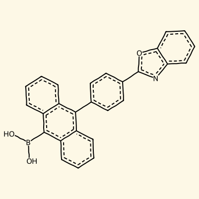 OB(O)c1c2ccccc2c(-c2ccc(-c3nc4ccccc4o3)cc2)c2ccccc12